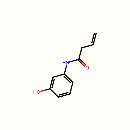 C=CCC(=O)Nc1cccc(O)c1